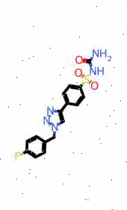 NC(=O)NS(=O)(=O)c1ccc(-c2cn(Cc3ccc(F)cc3)nn2)cc1